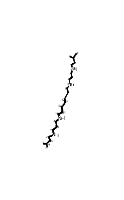 CC(C)CCNCCCNCCCCCCCNCCCNCCC(C)C